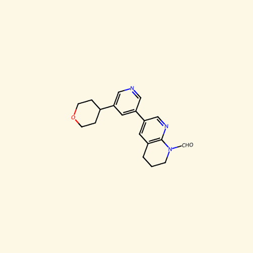 O=CN1CCCc2cc(-c3cncc(C4CCOCC4)c3)cnc21